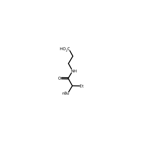 CCCCC(CC)C(=O)NCCC(=O)O